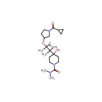 CN(C)C(=O)N1CCC(O)(C(C)(C)C(C)(C)OC2CCN(C(=O)C3CC3)C2)CC1